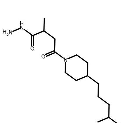 CC(C)CCCC1CCN(C(=O)CC(C)C(=O)NN)CC1